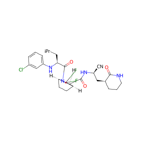 CC(C)C[C@H](Nc1cccc(Cl)c1)C(=O)N1[C@@H]2CC[C@H]([C@@H]1C(=O)N[C@@H](C#N)C[C@@H]1CCCNC1=O)C(F)(F)C2